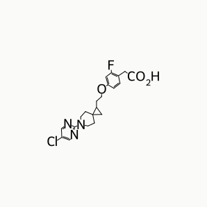 O=C(O)Cc1ccc(OCCC2CC23CCN(c2ncc(Cl)cn2)CC3)cc1F